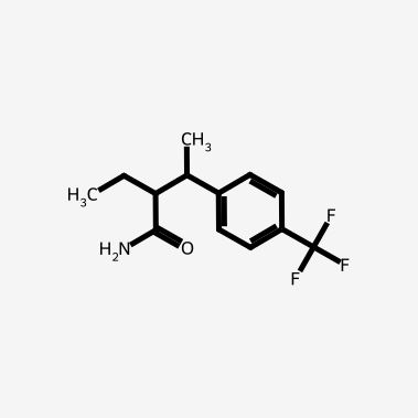 CCC(C(N)=O)C(C)c1ccc(C(F)(F)F)cc1